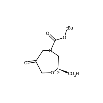 CC(C)(C)OC(=O)N1CC(=O)CO[C@H](C(=O)O)C1